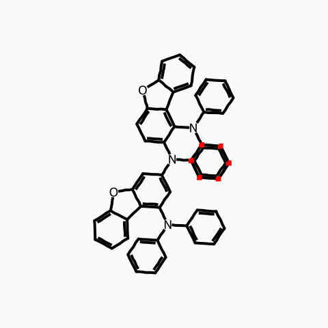 c1ccc(N(c2cc(N(c3ccccc3)c3ccccc3)c3c(c2)oc2ccccc23)c2ccc3oc4ccccc4c3c2N(c2ccccc2)c2ccccc2)cc1